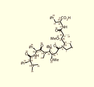 CC[C@H](C)[C@@H]([C@@H](CC(=O)N1CCC[C@H]1[C@H](OC)[C@@H](C)C(=O)N[C@@H](CC(C)C)C(=O)O)OC)N(C)C(=O)[C@@H](NC(=O)[C@H](C(C)C)N(C)C)C(C)C